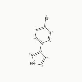 CCc1ccc(-c2[c]c[nH]n2)cc1